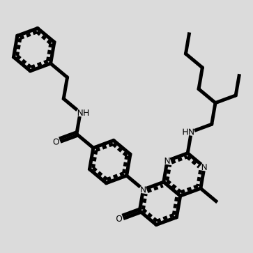 CCCCC(CC)CNc1nc(C)c2ccc(=O)n(-c3ccc(C(=O)NCCc4ccccc4)cc3)c2n1